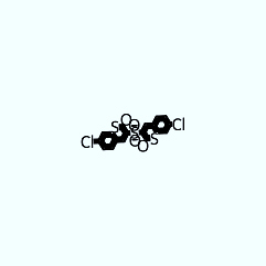 O=c1sc2cc(Cl)ccc2cc1S(=O)(=O)c1cc2ccc(Cl)cc2sc1=O